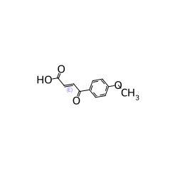 COc1ccc(C(=O)/C=C/C(=O)O)cc1